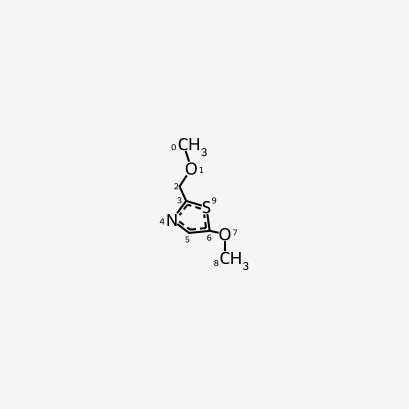 COCc1ncc(OC)s1